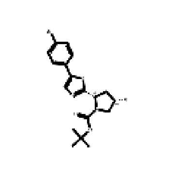 CC(C)(C)OC(=O)N1C[C@@H](F)C[C@H]1c1ncc(-c2ccc(Br)cc2)s1